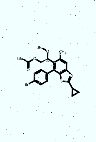 Cc1cc2nc(C3CC3)sc2c(-c2ccc(Br)cc2)c1[C@@H](COC(=O)C(C)(C)C)OC(C)(C)C